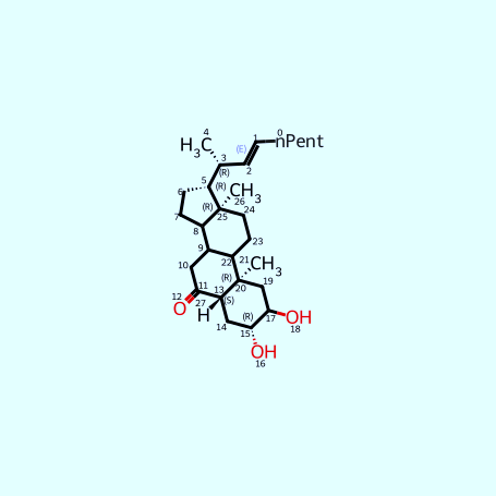 CCCCC/C=C/[C@@H](C)[C@H]1CCC2C3CC(=O)[C@H]4C[C@@H](O)C(O)C[C@]4(C)C3CC[C@@]21C